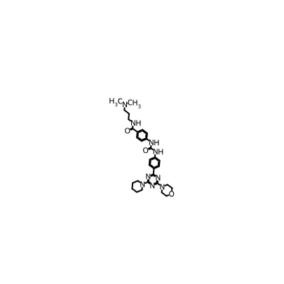 CN(C)CCCNC(=O)c1ccc(NC(=O)Nc2ccc(-c3nc(N4CCCCC4)nc(N4CCOCC4)n3)cc2)cc1